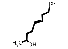 CC(C)CC/C=C/CCC(C)O